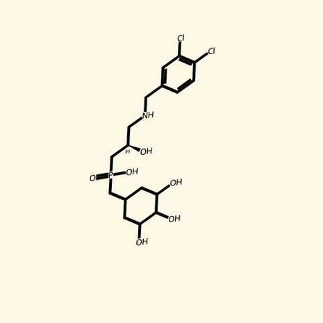 O=P(O)(CC1CC(O)C(O)C(O)C1)C[C@H](O)CNCc1ccc(Cl)c(Cl)c1